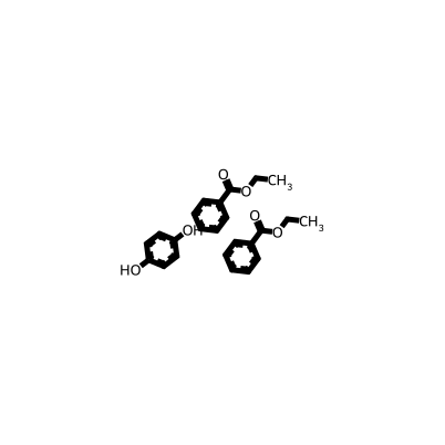 CCOC(=O)c1ccccc1.CCOC(=O)c1ccccc1.Oc1ccc(O)cc1